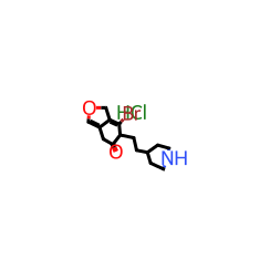 Cl.O=C1CC2=COCC2=C(Br)C1CCC1CCNCC1